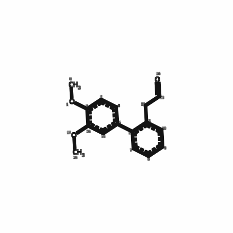 COc1ccc(-c2ccccc2CC=O)cc1OC